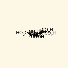 N[C@@H](CCC(=O)O)C(=O)NCC(=O)N[C@@H](CO)C(=O)NCC(=O)N[C@@H](CCC(=O)O)C(=O)O